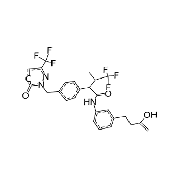 C=C(O)CCc1cccc(NC(=O)C(c2ccc(Cn3nc(C(F)(F)F)ccc3=O)cc2)C(C)C(F)(F)F)c1